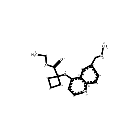 CCOC(=O)C1(Sc2ccnc3ccc(COC)cc23)CCC1